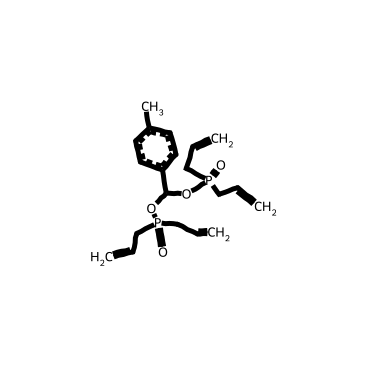 C=CCP(=O)(CC=C)OC(OP(=O)(CC=C)CC=C)c1ccc(C)cc1